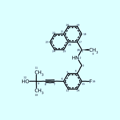 C[C@@H](NCc1cc(C#CC(C)(C)O)ccc1F)c1cccc2ccccc12